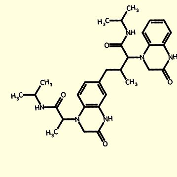 CC(C)NC(=O)C(C)N1CC(=O)Nc2cc(CC(C)C(C(=O)NC(C)C)N3CC(=O)Nc4ccccc43)ccc21